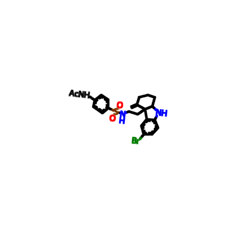 C=C1CCCC2Nc3ccc(Br)cc3C12CCNS(=O)(=O)c1ccc(NC(C)=O)cc1